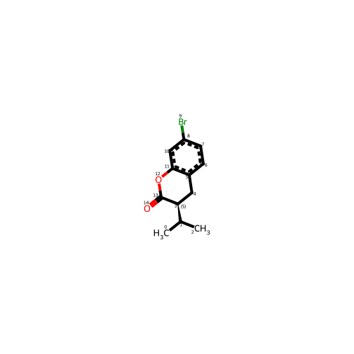 CC(C)[C@@H]1Cc2ccc(Br)cc2OC1=O